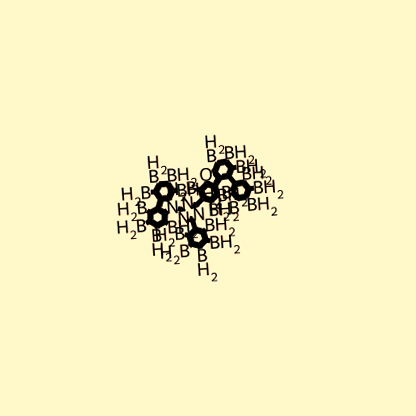 Bc1c(B)c(B)c(-c2nc(-c3c(B)c(B)c4c(oc5c(B)c(B)c(B)c(-c6c(B)c(B)c(B)c(B)c6B)c54)c3B)nc(-n3c4c(B)c(B)c(B)c(B)c4c4c(B)c(B)c(B)c(B)c43)n2)c(B)c1B